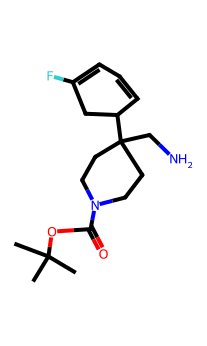 CC(C)(C)OC(=O)N1CCC(CN)(C2C=CC=C(F)C2)CC1